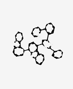 c1ccc(-c2nc(-c3ccccc3-c3ccccn3)cc(-c3ccc(-c4cccc5sc6ccccc6c45)c4oc5ccccc5c34)n2)cc1